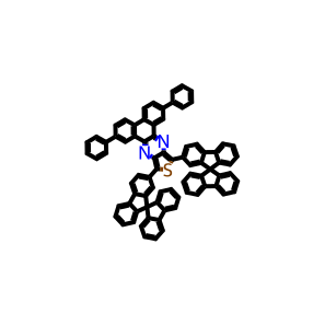 c1ccc(-c2ccc3c4ccc(-c5ccccc5)cc4c4nc5c(-c6ccc7c(c6)C6(c8ccccc8-c8ccccc86)c6ccccc6-7)sc(-c6ccc7c(c6)C6(c8ccccc8-c8ccccc86)c6ccccc6-7)c5nc4c3c2)cc1